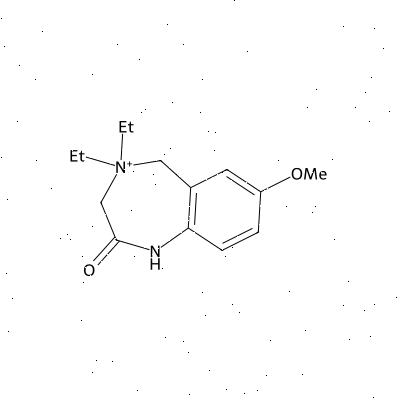 CC[N+]1(CC)CC(=O)Nc2ccc(OC)cc2C1